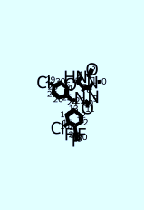 Cn1c(=O)[nH]c(=O)c2c1nc(Oc1ccc(Cl)c(C(F)(F)F)c1)n2Cc1ccc(Cl)cc1